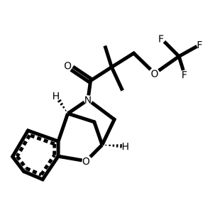 CC(C)(COC(F)(F)F)C(=O)N1C[C@@H]2C[C@H]1c1ccccc1O2